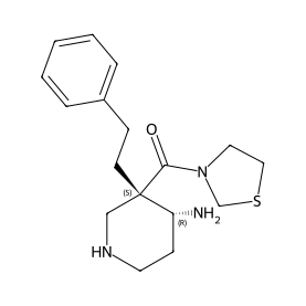 N[C@@H]1CCNC[C@]1(CCc1ccccc1)C(=O)N1CCSC1